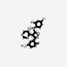 CC(=O)N(c1ccc(F)cc1F)c1onc(-c2cc(C)ccc2F)c1-c1ccncn1